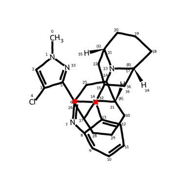 Cn1cc(Cl)c(-c2nc3ccccc3n2C2C[C@H]3CCC[C@@H](C2)N3C2CCC3CCC[C@@H]2C3)n1